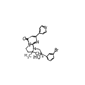 CC1(C)CCn2c(nc(-c3ccncc3)cc2=O)N1CC(O)c1cccc(Br)c1